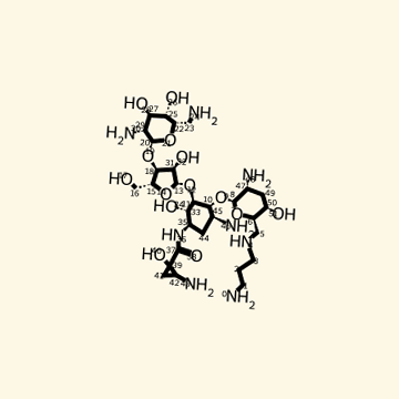 NCCCNC[C@H]1O[C@H](O[C@H]2[C@H](O[C@@H]3O[C@H](CO)[C@@H](O[C@H]4O[C@@H](CN)[C@@H](O)[C@H](O)[C@H]4N)[C@H]3O)[C@@H](O)[C@H](NC(=O)C3(O)CC3N)C[C@@H]2N)[C@H](N)C[C@@H]1O